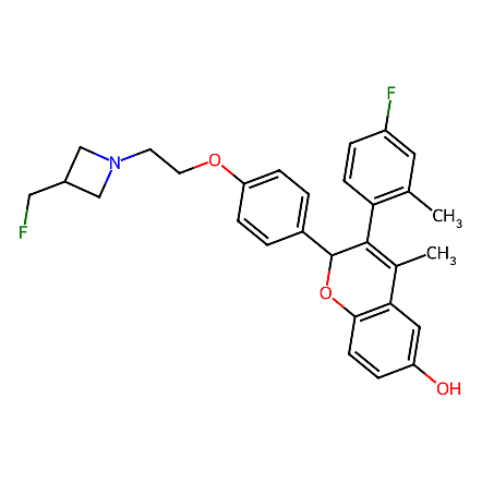 CC1=C(c2ccc(F)cc2C)C(c2ccc(OCCN3CC(CF)C3)cc2)Oc2ccc(O)cc21